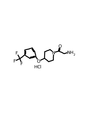 Cl.NCC(=O)N1CCC(Oc2cccc(C(F)(F)F)c2)CC1